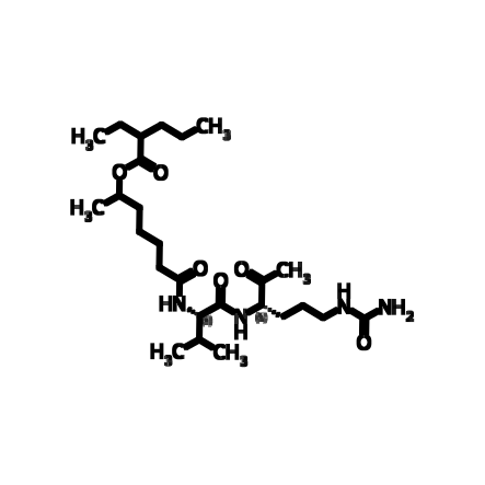 CCCC(CC)C(=O)OC(C)CCCCC(=O)N[C@H](C(=O)N[C@@H](CCCNC(N)=O)C(C)=O)C(C)C